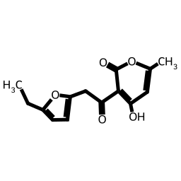 CCc1ccc(CC(=O)c2c(O)cc(C)oc2=O)o1